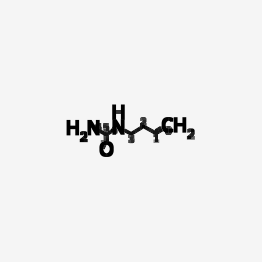 C=CCCNC(N)=O